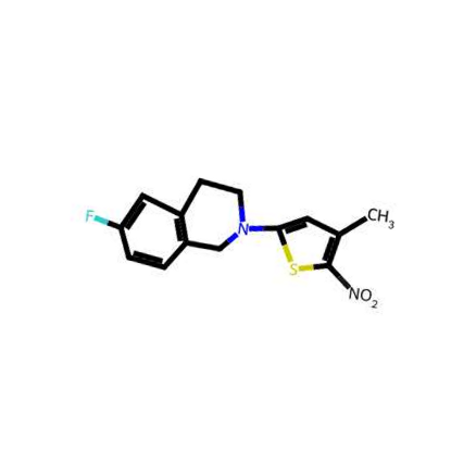 Cc1cc(N2CCc3cc(F)ccc3C2)sc1[N+](=O)[O-]